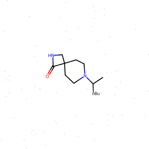 CCCCC(C)N1CCC2(CC1)CNC2=O